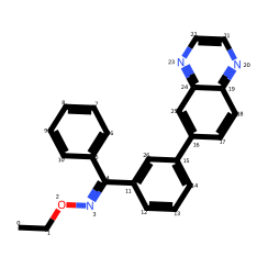 CCON=C(c1ccccc1)c1cccc(-c2ccc3nccnc3c2)c1